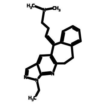 CCn1ncc2cc3c(nc21)CCc1ccccc1/C3=C\CCN(C)C